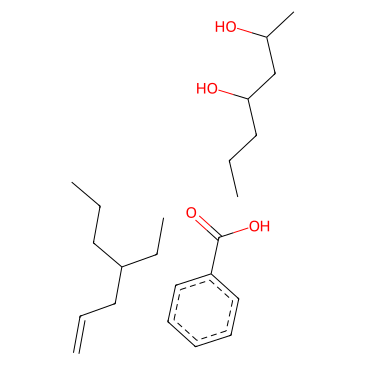 C=CCC(CC)CCC.CCCC(O)CC(C)O.O=C(O)c1ccccc1